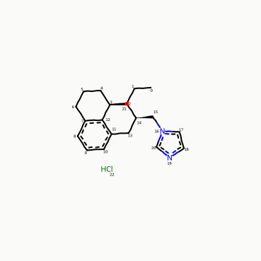 CCC[C@@]12CCCc3cccc(c31)C[C@H](Cn1ccnc1)C2.Cl